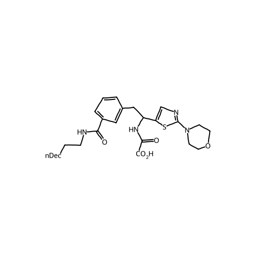 CCCCCCCCCCCCNC(=O)c1cccc(CC(NC(=O)C(=O)O)c2cnc(N3CCOCC3)s2)c1